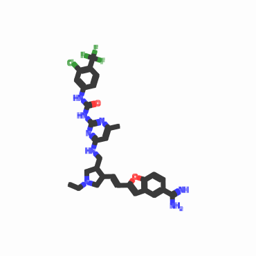 CCN1CC(/C=C/c2cc3cc(C(=N)N)ccc3o2)C(CNc2cc(C)nc(NC(=O)Nc3ccc(C(F)(F)F)c(Cl)c3)n2)C1